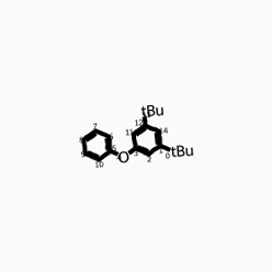 CC(C)(C)c1cc(Oc2cc[c]cc2)cc(C(C)(C)C)c1